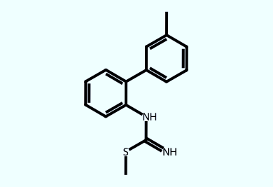 CSC(=N)Nc1ccccc1-c1cccc(C)c1